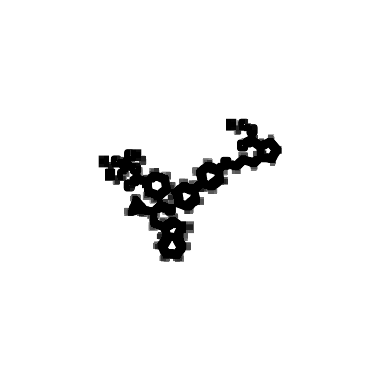 COC(=O)C1CCCN1CCCOc1ccc(-c2cccc([C@H]3CCN(C(=O)OC(C)(C)C)C[C@@H]3C(=O)N(Cc3c[nH]c4ccccc34)C3CC3)c2)cc1